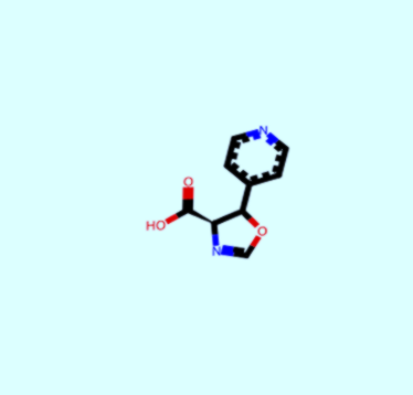 O=C(O)[C@@H]1N=COC1c1ccncc1